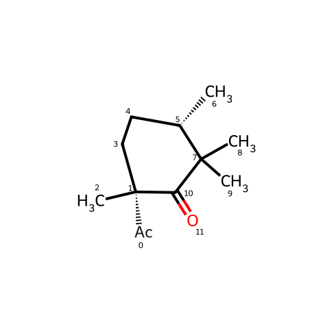 CC(=O)[C@]1(C)CC[C@H](C)C(C)(C)C1=O